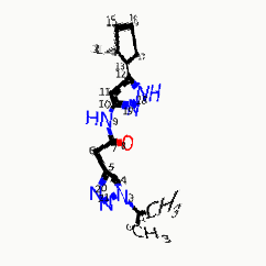 CC(C)n1cc(CC(=O)Nc2cc([C@H]3C[CH]CC3)[nH]n2)nn1